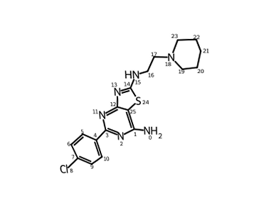 Nc1nc(-c2ccc(Cl)cc2)nc2nc(NCCN3CCCCC3)sc12